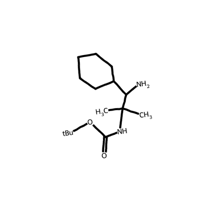 CC(C)(C)OC(=O)NC(C)(C)C(N)C1CCCCC1